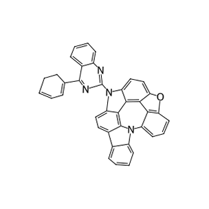 C1=CCCC(c2nc(-n3c4ccc5oc6cccc7c6c5c4c4c3ccc3c5ccccc5n7c34)nc3ccccc23)=C1